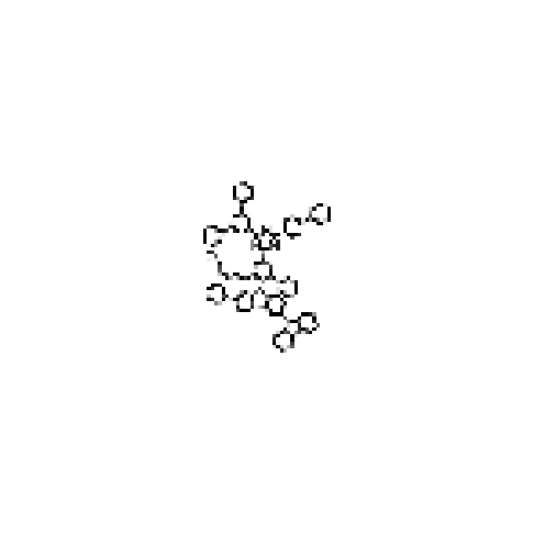 O=C/C=C\C=C\c1cc(-c2nc(-c3ccc(-c4ccccc4)cc3)nc(-c3cc(-c4ccccc4)cc(-c4ccccc4)c3)n2)cc(-c2ccccc2)c1-n1c2ccc(-n3c4ccccc4c4ccccc43)cc2c2ccc(-c3ccccc3)cc21